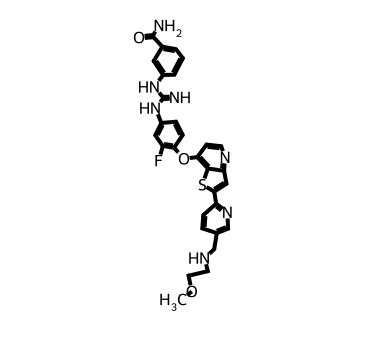 COCCNCc1ccc(-c2cc3nccc(Oc4ccc(NC(=N)Nc5cccc(C(N)=O)c5)cc4F)c3s2)nc1